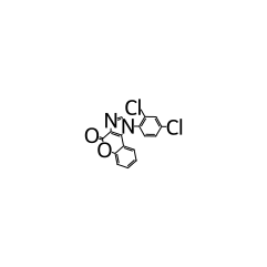 O=c1oc2ccccc2c2c1ncn2-c1ccc(Cl)cc1Cl